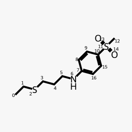 CCSCCCNc1ccc(S(C)(=O)=O)cc1